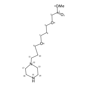 COC(=O)COCCCOCCCN1CCNCC1